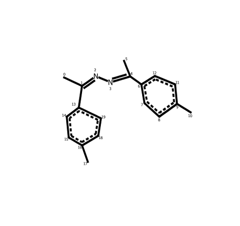 CC(=NN=C(C)c1ccc(C)cc1)c1ccc(C)cc1